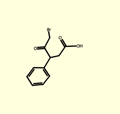 O=C(O)CC(C(=O)CBr)c1ccccc1